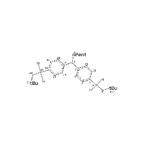 [CH2]CCCC[C](c1ccc(C(C)(C)CC(C)(C)C)cc1)c1ccc(C(C)(C)CC(C)(C)C)cc1